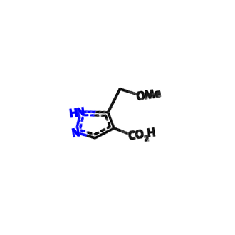 COCc1[nH]ncc1C(=O)O